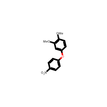 COc1ccc(Oc2c[c]c([N+](=O)[O-])cc2)cc1OC